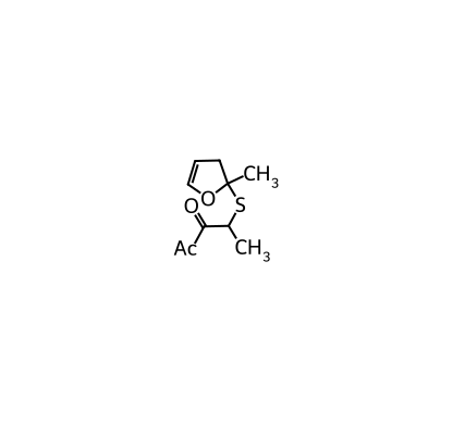 CC(=O)C(=O)C(C)SC1(C)CC=CO1